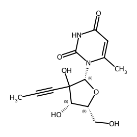 CC#CC1(O)[C@@H](O)[C@@H](CO)O[C@H]1n1c(C)cc(=O)[nH]c1=O